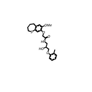 COc1cc2c(cc1OCC(=O)NCC(O)COc1ccccc1C)SCCCC2